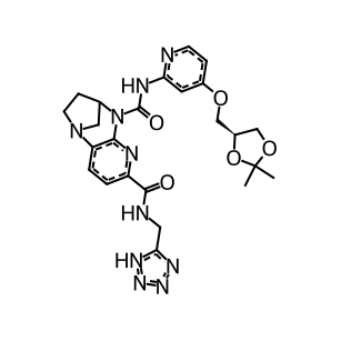 CC1(C)OC[C@H](COc2ccnc(NC(=O)N3c4nc(C(=O)NCc5nnn[nH]5)ccc4N4CCC3C4)c2)O1